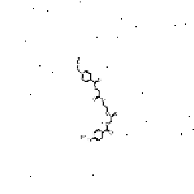 N#COc1ccc(C(=O)OCC(=O)OCCOC(=O)COC(=O)c2ccc(N=C=O)cc2)cc1